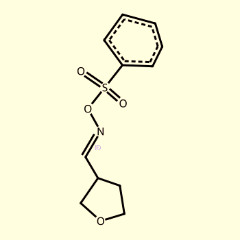 O=S(=O)(O/N=C/C1CCOC1)c1ccccc1